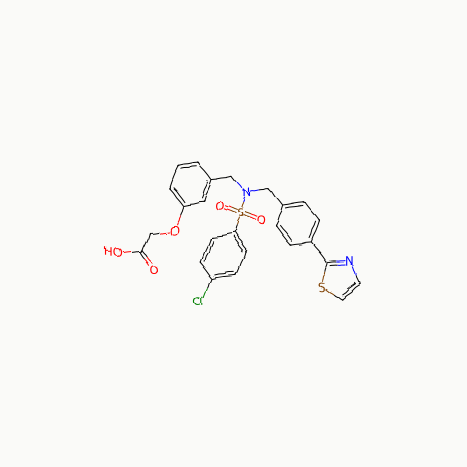 O=C(O)COc1cccc(CN(Cc2ccc(-c3nccs3)cc2)S(=O)(=O)c2ccc(Cl)cc2)c1